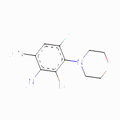 Nc1c([N+](=O)[O-])cc(F)c(N2CCOCC2)c1Br